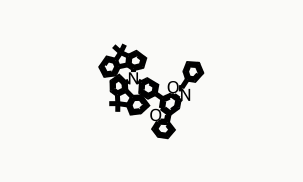 CC1(C)c2ccccc2-c2c(N(c3ccc(-c4c5oc(-c6ccccc6)nc5cc5c4oc4ccccc45)cc3)c3cccc4c3-c3ccccc3C4(C)C)cccc21